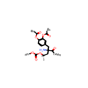 CCCOC(=O)O[C@@H](C)CC(N)(Cc1ccc(OC(=O)C(C)CC)c(OC(=O)C(C)CC)c1)C(=O)OC